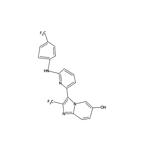 Oc1ccc2nc(C(F)(F)F)c(-c3cccc(Nc4ccc(C(F)(F)F)cc4)n3)n2c1